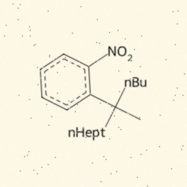 CCCCCCCC(C)(CCCC)c1ccccc1[N+](=O)[O-]